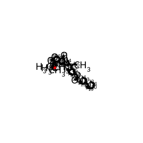 CCc1c2c(nc3ccc(OC(=O)N4CCC(N5CCCCC5)CC4)cc13)-c1cc3c(c(=O)n1C2)COC(=O)[C@@]3(CC)OC(C)(C)C